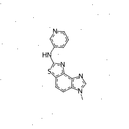 Cn1cnc2c3nc(Nc4cccnc4)sc3ccc21